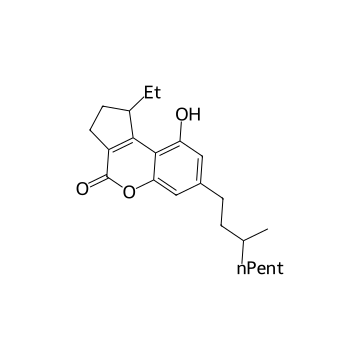 CCCCCC(C)CCc1cc(O)c2c3c(c(=O)oc2c1)CCC3CC